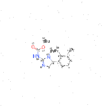 CC(C)c1cccc(C2CN=C(NC(=O)OC(C)(C)C)N2C(C)C)c1C(C)C